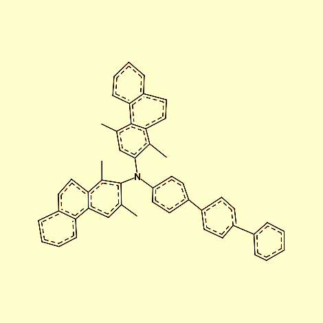 Cc1cc2c(ccc3ccccc32)c(C)c1N(c1ccc(-c2ccc(-c3ccccc3)cc2)cc1)c1cc(C)c2c(ccc3ccccc32)c1C